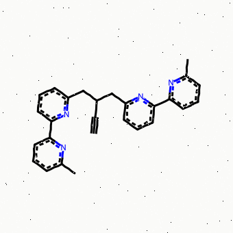 C#CC(Cc1cccc(-c2cccc(C)n2)n1)Cc1cccc(-c2cccc(C)n2)n1